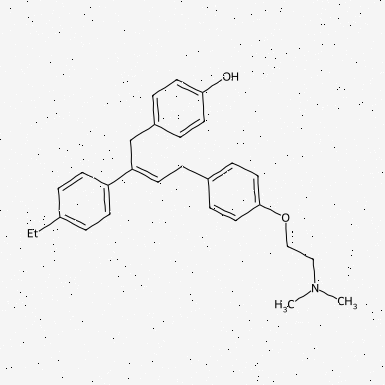 CCc1ccc(C(=CCc2ccc(OCCN(C)C)cc2)Cc2ccc(O)cc2)cc1